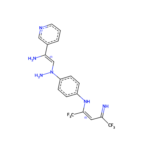 N=C(/C=C(\Nc1ccc(N(N)/C=C(\N)c2cccnc2)cc1)C(F)(F)F)C(F)(F)F